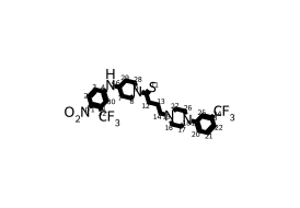 O=[N+]([O-])c1ccc(NC2CCN(C(=S)CCCN3CCN(c4cccc(C(F)(F)F)c4)CC3)CC2)cc1C(F)(F)F